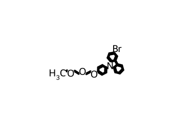 CCOCCOCCOc1ccc(-n2c3ccccc3c3cc(Br)ccc32)cc1